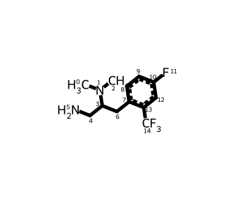 CN(C)C(CN)Cc1ccc(F)cc1C(F)(F)F